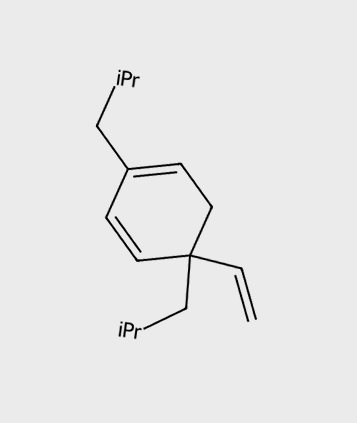 C=CC1(CC(C)C)C=CC(CC(C)C)=CC1